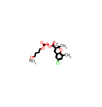 Cc1cc(Cl)cc2c1OC(C)(C(F)(F)F)C(C(=O)OOC(=O)OCCCCO[N+](=O)[O-])=C2